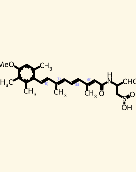 COc1cc(C)c(/C=C/C(C)=C/C=C/C(C)=C/C(=O)NC(C=O)CS(=O)O)c(C)c1C